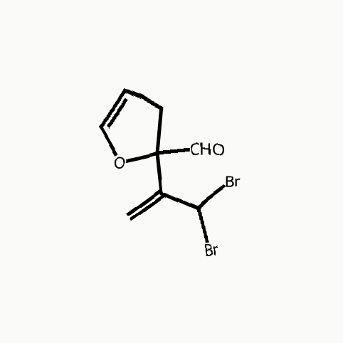 C=C(C(Br)Br)C1(C=O)CC=CO1